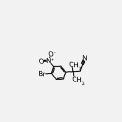 CC(C)(CC#N)c1ccc(Br)c([N+](=O)[O-])c1